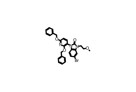 COCCn1c(=O)n(-c2ccc(OCc3ccccc3)nc2OCc2ccccc2)c2ccc(Br)cc21